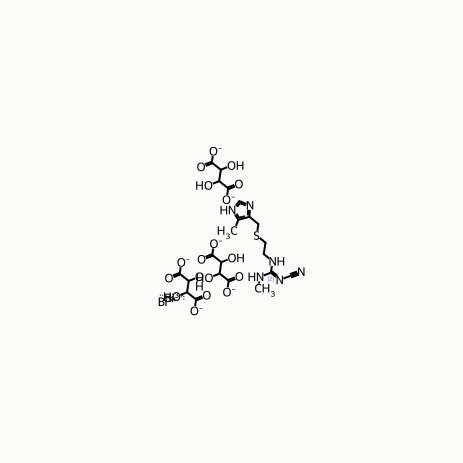 CN/C(=N/C#N)NCCSCc1nc[nH]c1C.O=C([O-])C(O)C(O)C(=O)[O-].O=C([O-])C(O)C(O)C(=O)[O-].O=C([O-])C(O)C(O)C(=O)[O-].[Bi+3].[Bi+3]